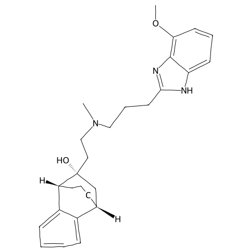 COc1cccc2[nH]c(CCCN(C)CC[C@@]3(O)C[C@H]4CCC[C@@H]3c3ccccc34)nc12